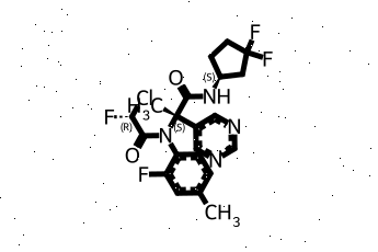 Cc1ccc(N(C(=O)[C@H](F)Cl)[C@](C)(C(=O)N[C@H]2CCC(F)(F)C2)c2cncnc2)c(F)c1